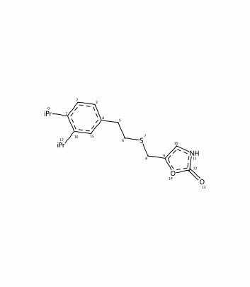 CC(C)c1ccc(CCSCc2c[nH]c(=O)o2)cc1C(C)C